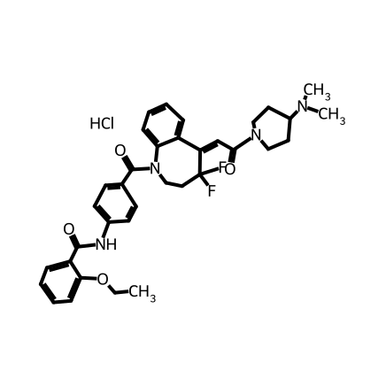 CCOc1ccccc1C(=O)Nc1ccc(C(=O)N2CCC(F)(F)/C(=C\C(=O)N3CCC(N(C)C)CC3)c3ccccc32)cc1.Cl